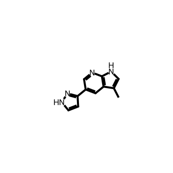 Cc1c[nH]c2ncc(-c3cc[nH]n3)cc12